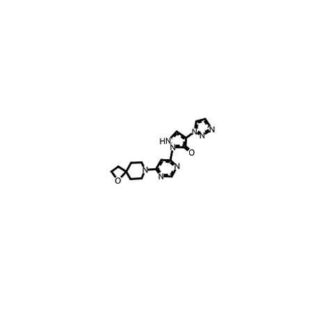 O=c1c(-n2ccnn2)c[nH]n1-c1cc(N2CCC3(CCO3)CC2)ncn1